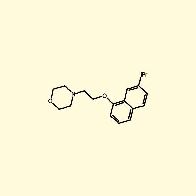 CC(C)c1ccc2cccc(OCCN3CCOCC3)c2c1